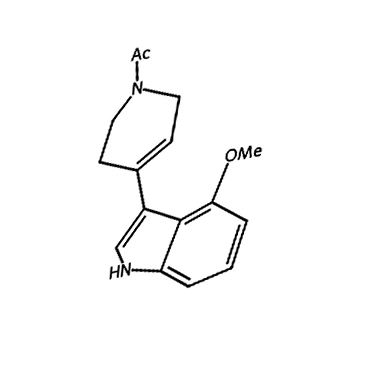 COc1cccc2[nH]cc(C3=CCN(C(C)=O)CC3)c12